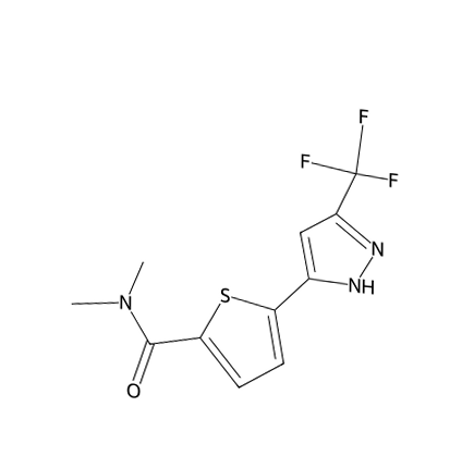 CN(C)C(=O)c1ccc(-c2cc(C(F)(F)F)n[nH]2)s1